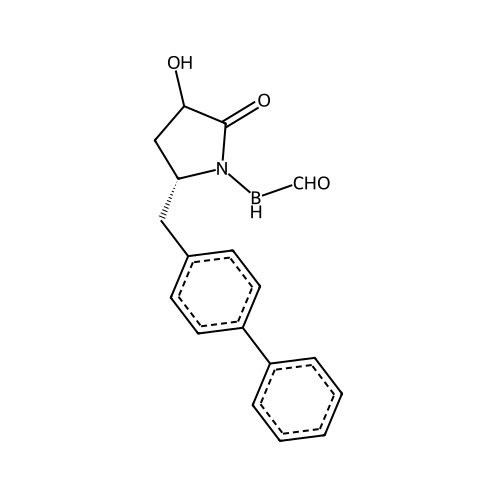 O=CBN1C(=O)C(O)C[C@H]1Cc1ccc(-c2ccccc2)cc1